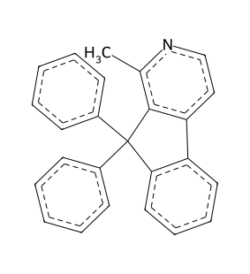 Cc1nccc2c1C(c1ccccc1)(c1ccccc1)c1ccccc1-2